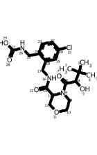 CC(C)(C)C(O)C(=O)N1CCOCC1C(=O)NCc1cc(Cl)ccc1CNC(=O)O